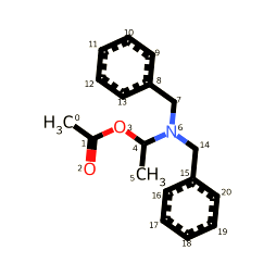 CC(=O)OC(C)N(Cc1ccccc1)Cc1ccccc1